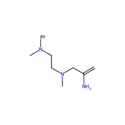 C=C(N)CN(C)CCN(C)C(C)C